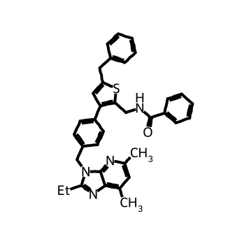 CCc1nc2c(C)cc(C)nc2n1Cc1ccc(-c2cc(Cc3ccccc3)sc2CNC(=O)c2ccccc2)cc1